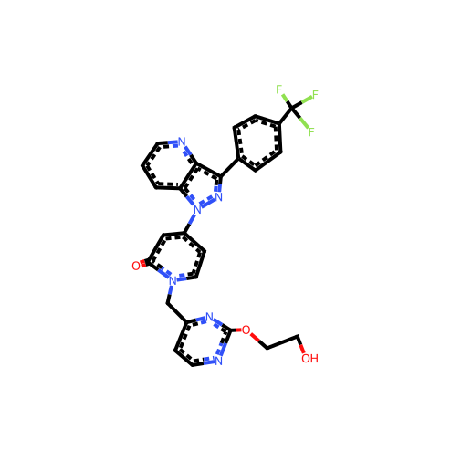 O=c1cc(-n2nc(-c3ccc(C(F)(F)F)cc3)c3ncccc32)ccn1Cc1ccnc(OCCO)n1